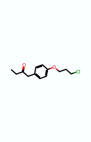 CCC(=O)Cc1ccc(OCCCCl)cc1